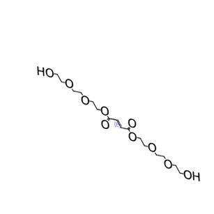 O=C(/C=C/C(=O)OCCOCCOCCO)OCCOCCOCCO